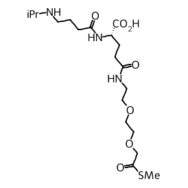 CSC(=O)COCCOCCNC(=O)CC[C@H](NC(=O)CCCNC(C)C)C(=O)O